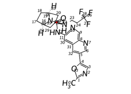 Cc1ncc(-c2cnc3cnc(NC(=O)N4[C@@H]5CC[C@H]4C[C@@H](NCCC(F)(F)F)C5)cc3c2)o1